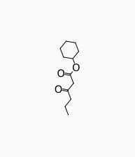 CCCC(=O)CC(=O)OC1CCCCC1